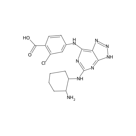 NC1CCCCC1Nc1nc(Nc2ccc(C(=O)O)c(Cl)c2)c2nn[nH]c2n1